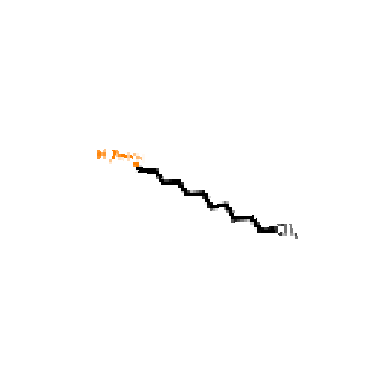 CCCCCCCCCCCCPP